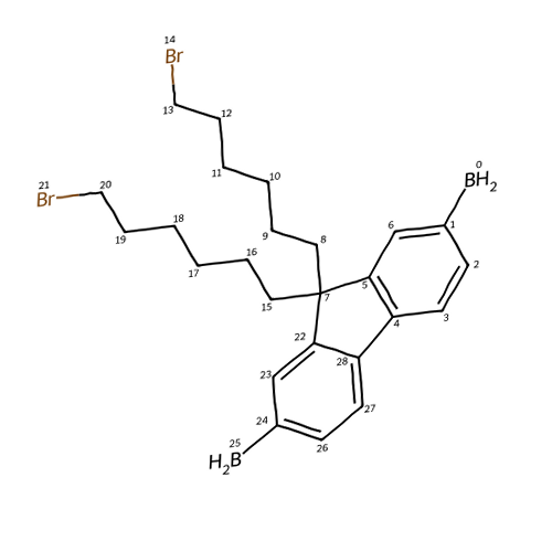 Bc1ccc2c(c1)C(CCCCCCBr)(CCCCCCBr)c1cc(B)ccc1-2